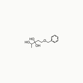 CC(O)C(O)(O)CCOCc1ccccc1